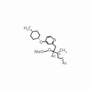 COCO[C@@](Cc1cc(O[C@H]2CC[C@H](C)CC2)ccn1)(C(C)=O)[C@@H](C)CSC(C)=O